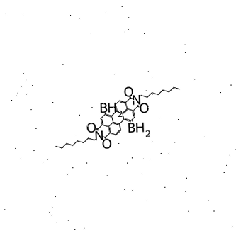 Bc1cc2c3c(ccc4c5c(B)cc6c7c(ccc(c1c34)c75)C(=O)N(CCCCCCCC)C6=O)C(=O)N(CCCCCCCC)C2=O